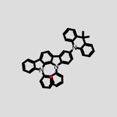 CC1(C)c2ccccc2N(c2ccc3c(c2)c2ccc4c5ccccc5n(-c5ccccc5)c4c2n3-c2ccccc2)c2ccccc21